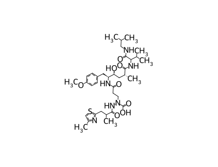 COc1ccc(C[C@H](NC(=O)CCN(NC(=O)C(C)Cc2nc(C)cs2)C(=O)O)[C@@H](O)C[C@@H](C)C(=O)NC(C(=O)NCC(C)C)C(C)C)cc1